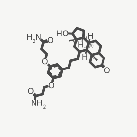 C[C@]12CCC(=O)CC1CC[C@@H]1[C@H]2C(CCCc2cc(OCCC(N)=O)cc(OCCC(N)=O)c2)C[C@]2(C)C(O)CC[C@@H]12